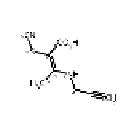 C#CCN/C(C)=C(/SC#N)C(=O)O